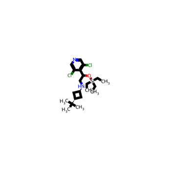 CC[Si](CC)(CC)OC(CN[C@H]1C[C@@H](C(C)(C)C)C1)c1c(Cl)cncc1Cl